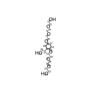 OCCOCCOCCOc1ccc(OCCOCCOCCO)c(CCO)c1